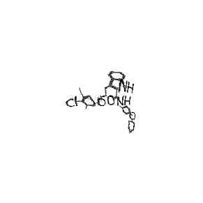 Cc1cc(OCCCc2c(C(=O)NCc3ccc(Oc4ccccc4)cc3)[nH]c3ccccc23)cc(C)c1Cl